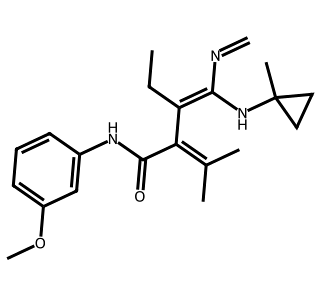 C=N/C(NC1(C)CC1)=C(\CC)C(C(=O)Nc1cccc(OC)c1)=C(C)C